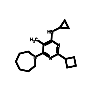 Cc1c(NC2CC2)nc(C2CCC2)nc1N1CCCCCC1